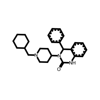 O=C1Nc2ccccc2C(c2ccccc2)N1C1CCN(CC2CCCCC2)CC1